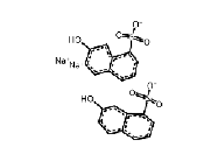 O=S(=O)([O-])c1cccc2ccc(O)cc12.O=S(=O)([O-])c1cccc2ccc(O)cc12.[Na+].[Na+]